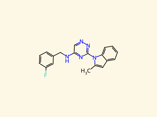 Cc1cc2ccccc2n1-c1nncc(NCc2cccc(F)c2)n1